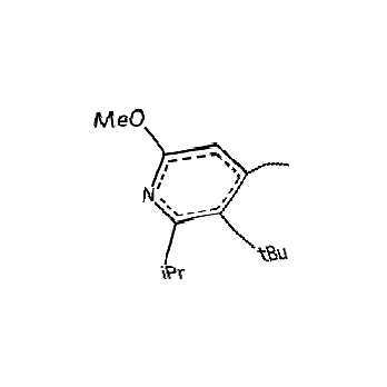 COc1cc(C)c(C(C)(C)C)c(C(C)C)n1